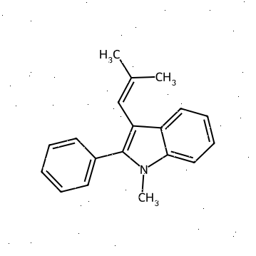 CC(C)=Cc1c(-c2ccccc2)n(C)c2ccccc12